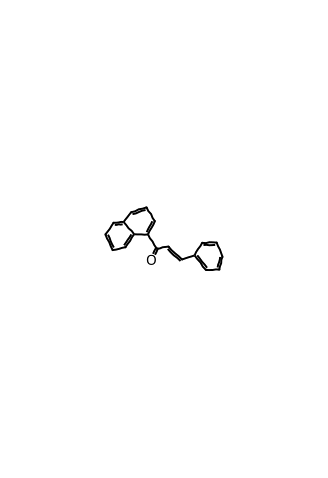 O=C(C=Cc1ccccc1)c1cccc2ccccc12